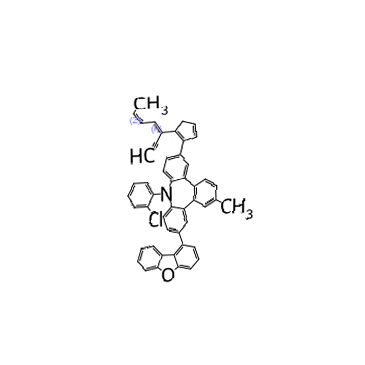 C#C/C(=C\C=C/C)C1=C(c2ccc3c(c2)-c2ccc(C)cc2-c2cc(-c4cccc5oc6ccccc6c45)ccc2N3c2ccccc2Cl)C=CC1